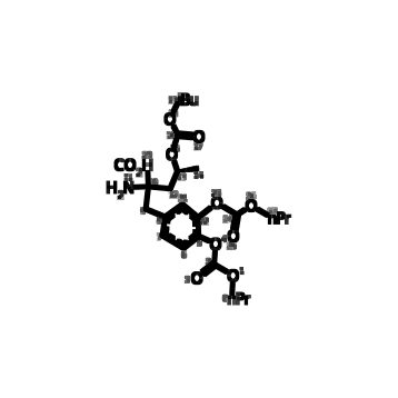 CCCOC(=O)Oc1ccc(CC(N)(C[C@H](C)OC(=O)OC(C)CC)C(=O)O)cc1OC(=O)OCCC